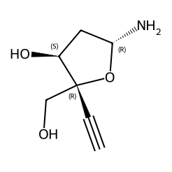 C#C[C@]1(CO)O[C@@H](N)C[C@@H]1O